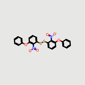 O=[N+]([O-])c1c(Oc2ccccc2)cccc1SSc1cccc(Oc2ccccc2)c1[N+](=O)[O-]